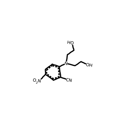 N#Cc1cc([N+](=O)[O-])ccc1N(CCO)CCO